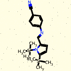 C[Si](C)(C)c1ccc(/C=N/c2ccc(C#N)cc2)n1[Si](C)(C)C